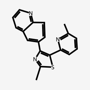 Cc1cccc(-c2sc(C)nc2-c2ccc3ncccc3c2)n1